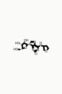 OC[C@H]1O[C@@H](n2cnc3c(NC4CCOC4)nc(Cl)nc32)[C@@H](O)[C@H]1O